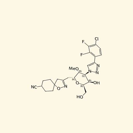 CO[C@@H]1[C@@H](n2cc(-c3ccc(Cl)c(F)c3F)nn2)[C@@H](O)[C@@H](CO)O[C@@H]1CC1=NOC2(CCC(C#N)CC2)C1